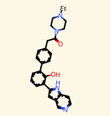 CCN1CCN(C(=O)Cc2ccc(-c3cccc(-c4cc5cnccc5[nH]4)c3O)cc2)CC1